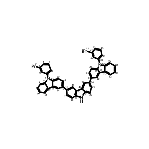 CC(C)c1cccc(-n2c3ccccc3c3cc(-c4ccc5[nH]c6ccc(-c7ccc8c(c7)c7ccccc7n8-c7cccc(C(C)C)c7)cc6c5c4)ccc32)c1